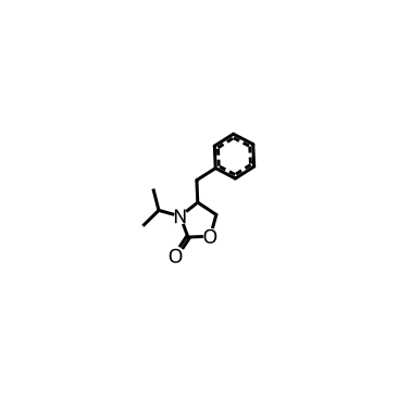 CC(C)N1C(=O)OCC1Cc1ccccc1